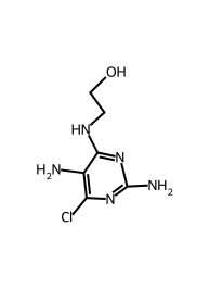 Nc1nc(Cl)c(N)c(NCCO)n1